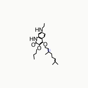 CCCCOc1c(OC/C=C(\C)CCC=C(C)C)c2ccc(NCC)cc2[nH]c1=O